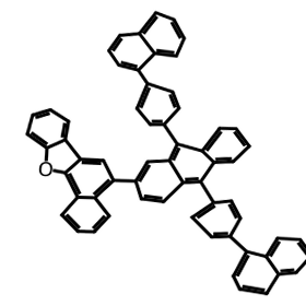 c1ccc2c(-c3ccc(-c4c5ccccc5c(-c5ccc(-c6cccc7ccccc67)cc5)c5cc(-c6cc7c8ccccc8oc7c7ccccc67)ccc45)cc3)cccc2c1